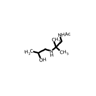 [CH2]C(O)CNC(C)(C)CNC(C)=O